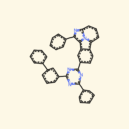 c1ccc(-c2cccc(-c3nc(-c4ccccc4)nc(-c4ccc5c(c4)c4c(-c6ccccc6)nc6cccc5n64)n3)c2)cc1